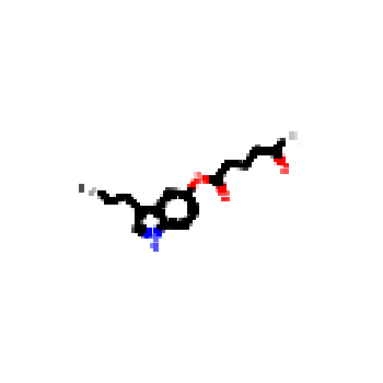 CCCc1c[nH]c2ccc(OC(=O)CCCC(C)=O)cc12